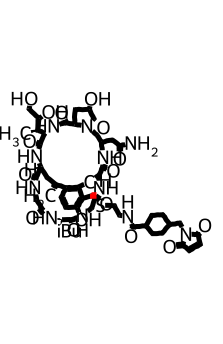 C=C1C[C@@H]2NC(=O)C([C@@H](C)C(O)CO)NC(=O)C3CC(O)CN3C(=O)C(CC(N)=O)NC(=O)[C@H](Cc3c1ccc(O)c3CSCCNC(=O)C1CCC(CN3C(=O)C=CC3=O)CC1)NC(=O)CNC(=O)[C@H]([C@@H](C)CC)NC(=O)CNC2=O